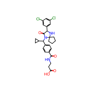 O=C(O)CCNC(=O)c1ccc(C(C2CC2)N2C(=O)C(c3cc(Cl)cc(Cl)c3)NC23CCCC3)cc1